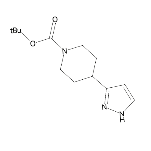 CC(C)(C)OC(=O)N1CCC(c2cc[nH]n2)CC1